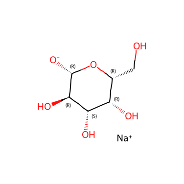 [Na+].[O-][C@@H]1O[C@H](CO)[C@H](O)[C@H](O)[C@H]1O